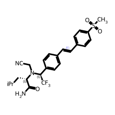 CC(C)C[C@@H](C(N)=O)N(CC#N)[C@@H](c1ccc(/C=C/c2ccc(S(C)(=O)=O)cc2)cc1)C(F)(F)F